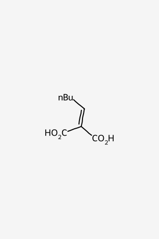 CCCCC=C(C(=O)O)C(=O)O